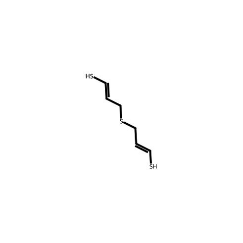 SC=CCSCC=CS